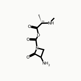 CN[C@@H](C)C(=O)OC(=O)N1CC(N)C1=O